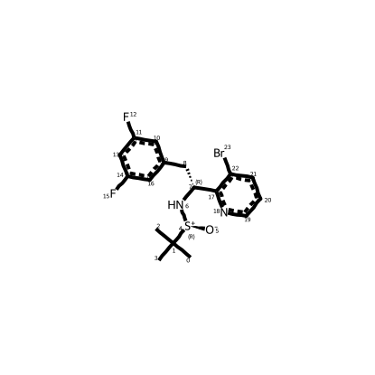 CC(C)(C)[S@+]([O-])N[C@H](Cc1cc(F)cc(F)c1)c1ncccc1Br